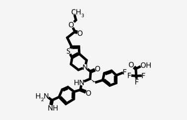 CCOC(=O)Cc1cc2c(s1)CCN(C(=O)[C@H](Cc1ccc(F)cc1)NC(=O)c1ccc(C(=N)N)cc1)C2.O=C(O)C(F)(F)F